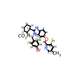 Cc1cnc(COc2ccc3nc(C4CCCCC4C(=O)O)n(Cc4c(F)cc(Br)cc4F)c3c2)c(F)c1